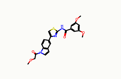 COCC(=O)n1ccc2cc(-c3csc(NC(=O)c4cc(OC)cc(OC)c4)n3)ccc21